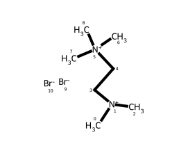 C[N+](C)CC[N+](C)(C)C.[Br-].[Br-]